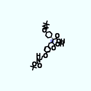 CC(C)(C)OC(=O)NCCOc1ccc(C/C(C(=O)O)=C(/C(=O)O)[C@H]2CC[C@@H](O[Si](C)(C)C(C)(C)C)CC2)cc1